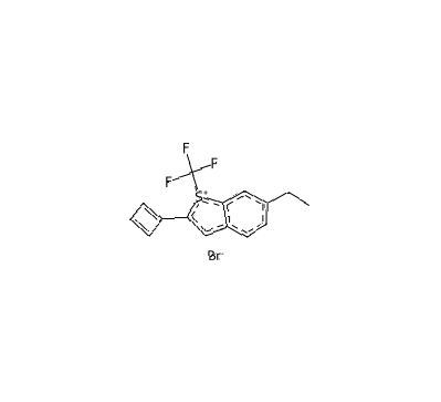 CCc1ccc2cc(C3=CC=C3)[s+](C(F)(F)F)c2c1.[Br-]